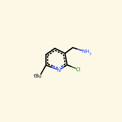 CC(C)(C)c1ccc(CN)c(Cl)n1